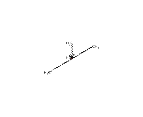 CCCCCCCCCCCCCCCCCCCCCCCC(CCCCCCCCCCCCCCCCCCC)C(F)(CCCCCCCCCCC)S(=O)(=O)O